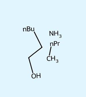 CCCC.CCCCCCO.N